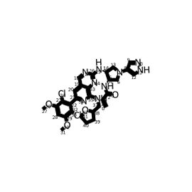 C=CC(=O)N[C@H]1CN(c2cn[nH]c2)C[C@H]1Nc1ncc2cc(-c3c(Cl)c(OC)cc(OC)c3Cl)nc(NCC3CCCO3)c2n1